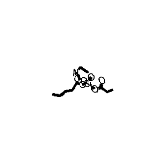 CCCCC1CN2CCO[Si](OC(=O)CC)(OCC2)O1